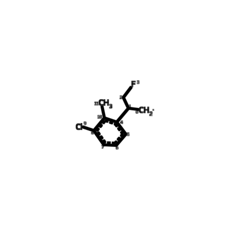 [CH2]C(CF)c1cccc(Cl)c1C